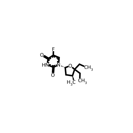 CCC1(CC)O[C@@H](n2cc(F)c(=O)[nH]c2=O)C[C@@H]1C